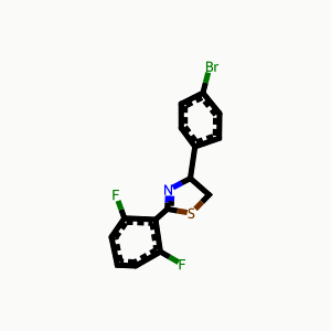 Fc1cccc(F)c1C1=NC(c2ccc(Br)cc2)CS1